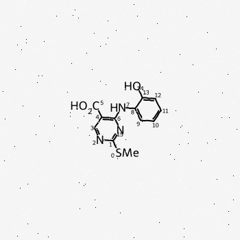 CSc1ncc(C(=O)O)c(Nc2ccccc2O)n1